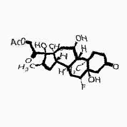 CC(=O)OCC(=O)[C@@]1(O)[C@H](C)C[C@H]2[C@@H]3C[C@@H](F)[C@@]4(O)CC(=O)CC[C@]4(C)[C@H]3[C@H](O)C[C@@]21C